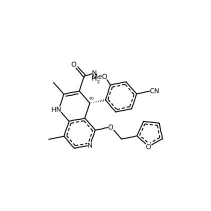 COc1cc(C#N)ccc1[C@H]1C(C(N)=O)=C(C)Nc2c(C)cnc(OCc3ccco3)c21